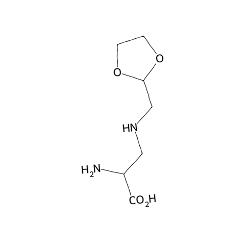 NC(CNCC1OCCO1)C(=O)O